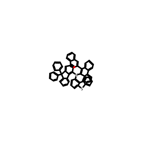 c1ccc(C2(c3ccccc3)c3ccccc3-c3c(N(c4c(-c5ccc6ccccc6c5)c5ccccc5c5ccccc45)c4cccc5sc6ccccc6c45)cccc32)cc1